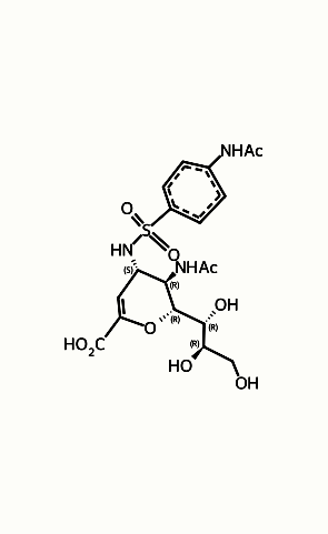 CC(=O)Nc1ccc(S(=O)(=O)N[C@H]2C=C(C(=O)O)O[C@@H]([C@H](O)[C@H](O)CO)[C@@H]2NC(C)=O)cc1